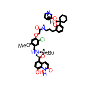 COc1cc(OCC(=O)N(C)CCCc2cccc(C3(C(=O)O[C@H]4CN5CCC4CC5)CCCCC3)c2)c(Cl)cc1CNC[C@@H](O[Si](C)(C)C(C)(C)C)c1ccc(O)c2[nH]c(=O)ccc12